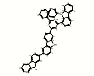 c1ccc(-c2nc(-c3ccc4c(c3)oc3ccc(-c5ccc6c(c5)oc5ccccc56)cc34)nc(-c3cccc4c5ccccc5n(-c5ccccc5)c34)n2)cc1